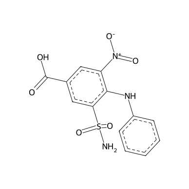 NS(=O)(=O)c1cc(C(=O)O)cc([N+](=O)[O-])c1Nc1ccccc1